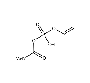 C=COP(=O)(O)OC(=O)NC